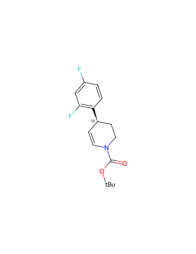 CC(C)(C)OC(=O)N1C=C[C@@H](c2ccc(F)cc2F)CC1